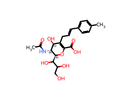 CC(=O)N[C@@H]1[C@@H](O)C(CC=Cc2ccc(C)cc2)=C(C(=O)O)O[C@H]1C(O)C(O)CO